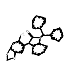 Cc1cc2c(cc1C1C(=O)N(C(c3ccccc3)c3ccccc3)c3ccccc31)OCO2